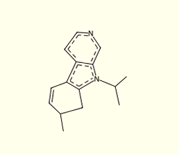 CC1C=Cc2c(n(C(C)C)c3cnccc23)C1